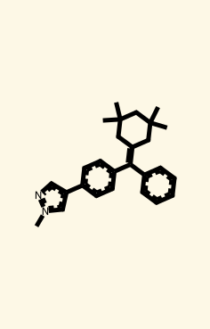 Cn1cc(-c2ccc(C(=C3CC(C)(C)CC(C)(C)C3)c3ccccc3)cc2)cn1